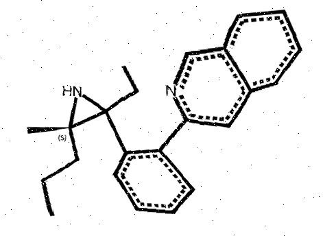 CCC[C@]1(C)NC1(CC)c1ccccc1-c1cc2ccccc2cn1